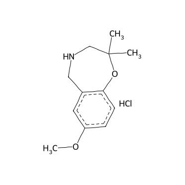 COc1ccc2c(c1)CNCC(C)(C)O2.Cl